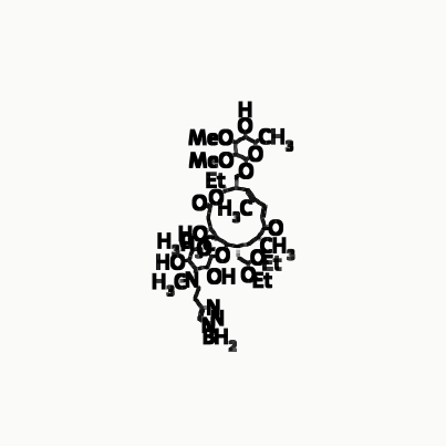 Bn1cc(CCN(C)C2C(O)C(C)OC(OC3[C@@H](CC(OCC)OCC)C[C@@H](C)C(=O)/C=C/C(C)=C/[C@H](COC4OC(C)C(O)C(OC)C4OC)[C@@H](CC)OC(=O)C[C@@H](O)[C@@H]3C)C2O)nn1